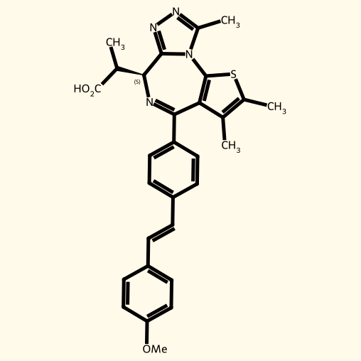 COc1ccc(C=Cc2ccc(C3=N[C@@H](C(C)C(=O)O)c4nnc(C)n4-c4sc(C)c(C)c43)cc2)cc1